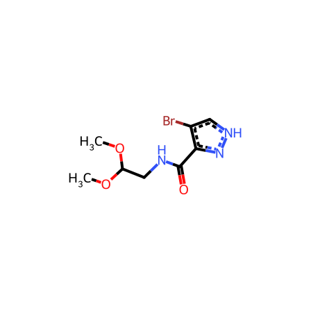 COC(CNC(=O)c1n[nH]cc1Br)OC